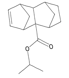 CC(C)OC(=O)C12C3C=CC(C3)C1C1CCC2C1